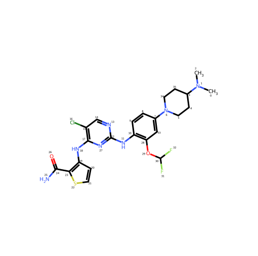 CN(C)C1CCN(c2ccc(Nc3ncc(Cl)c(Nc4ccsc4C(N)=O)n3)c(OC(F)F)c2)CC1